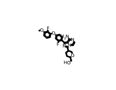 COc1cccc(Oc2ccc(-c3nc(C4CCC(CO)OC4)n4ccnc(N)c34)c(F)c2)c1F